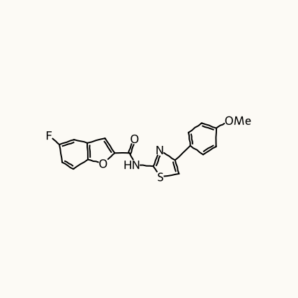 COc1ccc(-c2csc(NC(=O)c3cc4cc(F)ccc4o3)n2)cc1